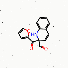 O=CC1(C(=O)c2ccco2)C=Cc2ccccc2N1